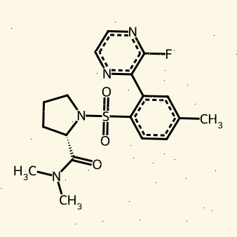 Cc1ccc(S(=O)(=O)N2CCC[C@H]2C(=O)N(C)C)c(-c2nccnc2F)c1